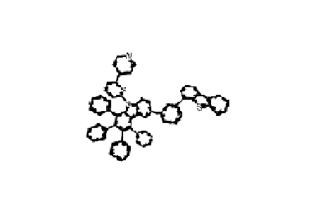 c1ccc(-c2c(-c3ccccc3)c(-c3ccccc3)c3c(c2-c2ccccc2)c2cc(-c4cccc(-c5cccc6c5sc5ccccc56)c4)ccc2n3-c2cccc(-c3ccncc3)n2)cc1